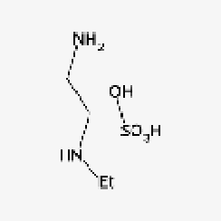 CCNCCN.O=S(=O)(O)O